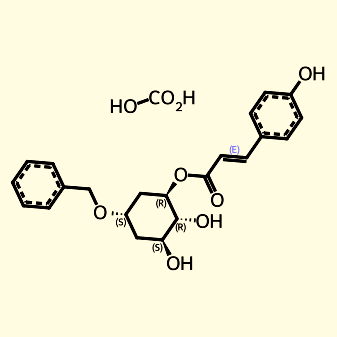 O=C(/C=C/c1ccc(O)cc1)O[C@@H]1C[C@@H](OCc2ccccc2)C[C@H](O)[C@H]1O.O=C(O)O